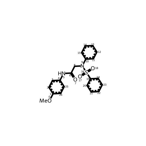 COc1ccc(NC(=O)CN(c2ccccc2)S(=O)(=O)c2ccccc2)cc1